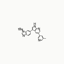 Cc1cncc(-c2cnc3[nH]cc(-c4ccc5ncn(C(C)(C)C)c5c4)c3c2)c1